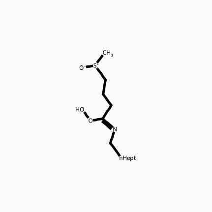 CCCCCCCCN=C(CCC[S+](C)[O-])OO